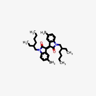 Bc1ccc2c(c1)/C(=C1\C(=O)N(CC(CC)CCCC)c3ccc(B)cc31)C(=O)N2CC(CC)CCCC